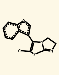 ClC1=C(c2csc3ccccc23)N2CCN=C2S1